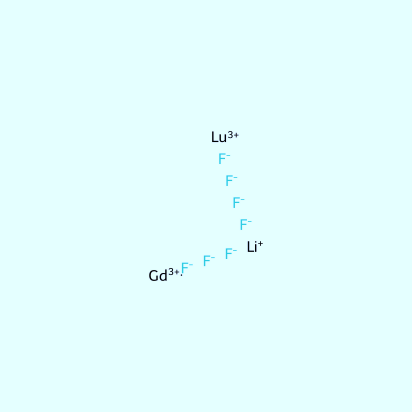 [F-].[F-].[F-].[F-].[F-].[F-].[F-].[Gd+3].[Li+].[Lu+3]